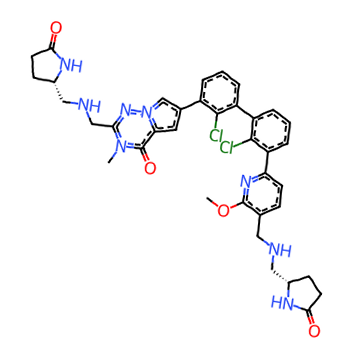 COc1nc(-c2cccc(-c3cccc(-c4cc5c(=O)n(C)c(CNC[C@@H]6CCC(=O)N6)nn5c4)c3Cl)c2Cl)ccc1CNC[C@@H]1CCC(=O)N1